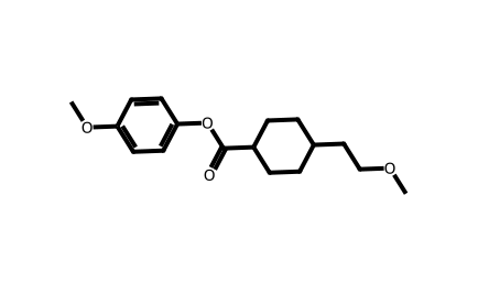 COCCC1CCC(C(=O)Oc2ccc(OC)cc2)CC1